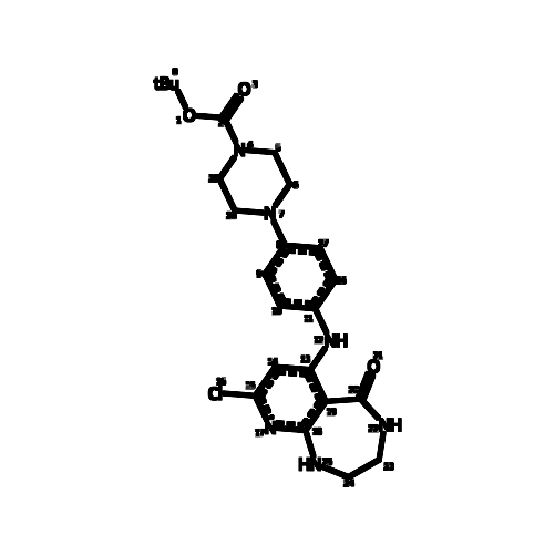 CC(C)(C)OC(=O)N1CCN(c2ccc(Nc3cc(Cl)nc4c3C(=O)NCCN4)cc2)CC1